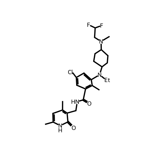 CCN(c1cc(Cl)cc(C(=O)NCc2c(C)cc(C)[nH]c2=O)c1C)C1CCC(N(C)CC(F)F)CC1